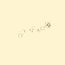 O=C(NCCCN1CCc2ccccc2C1)C1CCCN(c2ccc(-c3nn[nH]n3)cc2)C1